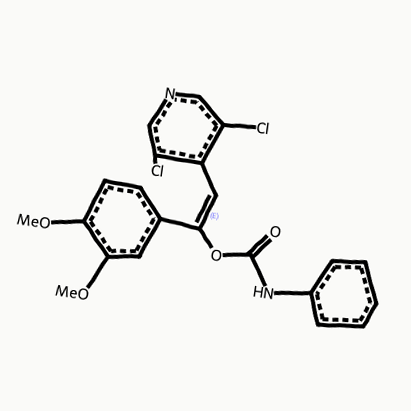 COc1ccc(/C(=C\c2c(Cl)cncc2Cl)OC(=O)Nc2ccccc2)cc1OC